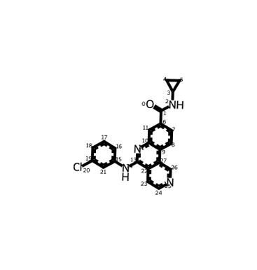 O=C(NC1CC1)c1ccc2c(c1)nc(Nc1cccc(Cl)c1)c1ccncc12